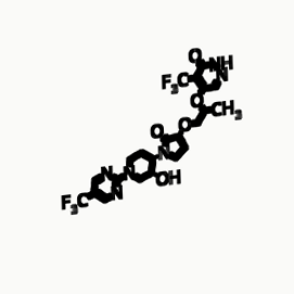 CC(CO[C@H]1CCN([C@H]2CCN(c3ncc(C(F)(F)F)cn3)C[C@H]2O)C1=O)Oc1cn[nH]c(=O)c1C(F)(F)F